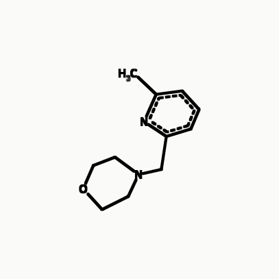 Cc1cccc(CN2CCOCC2)n1